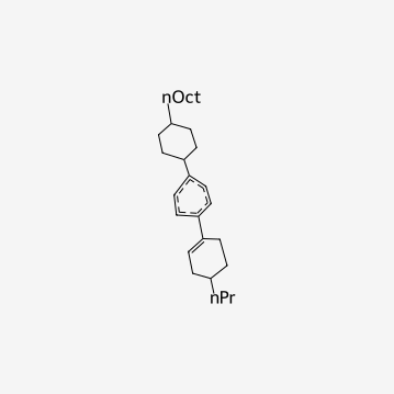 CCCCCCCCC1CCC(c2ccc(C3=CCC(CCC)CC3)cc2)CC1